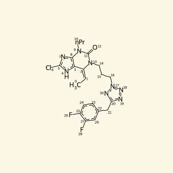 C/C=C1\c2[nH]c(Cl)nc2N(CCC)C(=O)N1CCCn1nnc(Cc2ccc(F)c(F)c2)n1